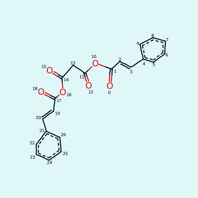 O=C(/C=C/c1ccccc1)OC(=O)CC(=O)OC(=O)/C=C/c1ccccc1